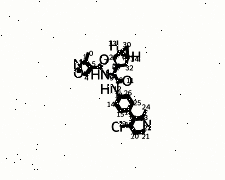 Cc1nocc1C(=O)N[C@H](C(=O)Nc1ccc(-c2c(Cl)ccnc2C)cc1)[C@H]1C[C@H]2C[C@H]2C1